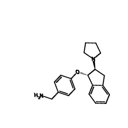 NCc1ccc(O[C@H]2c3ccccc3C[C@@H]2N2CCCC2)cc1